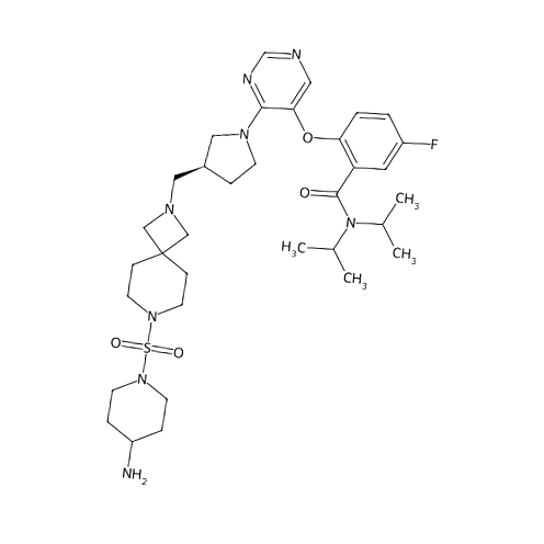 CC(C)N(C(=O)c1cc(F)ccc1Oc1cncnc1N1CC[C@@H](CN2CC3(CCN(S(=O)(=O)N4CCC(N)CC4)CC3)C2)C1)C(C)C